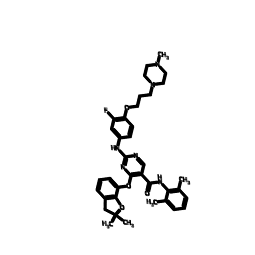 Cc1cccc(C)c1NC(=O)c1cnc(Nc2ccc(OCCCN3CCN(C)CC3)c(F)c2)nc1Oc1cccc2c1OC(C)(C)C2